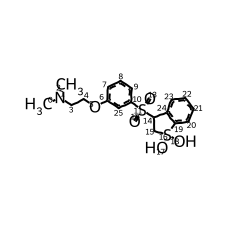 CN(C)CCOc1cccc(S(=O)(=O)C2CS(O)(O)c3ccccc32)c1